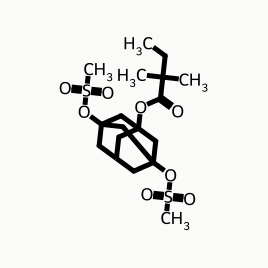 CCC(C)(C)C(=O)OC12CC3CC(OS(C)(=O)=O)(C1)CC(OS(C)(=O)=O)(C3)C2